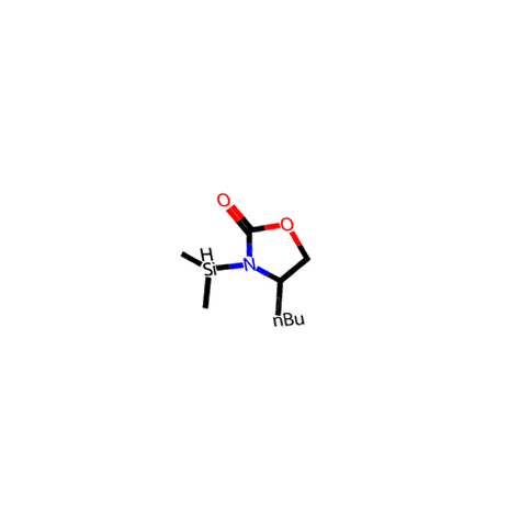 CCCCC1COC(=O)N1[SiH](C)C